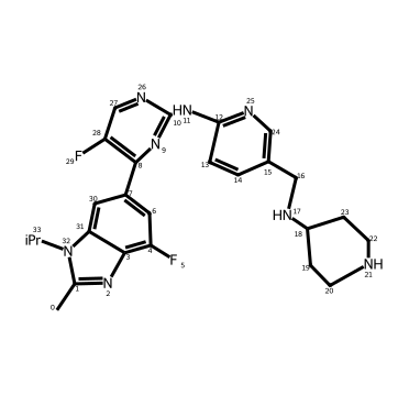 Cc1nc2c(F)cc(-c3nc(Nc4ccc(CNC5CCNCC5)cn4)ncc3F)cc2n1C(C)C